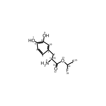 N[C@@H](Cc1ccc(O)c(O)c1)C(=O)OC(F)F